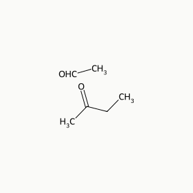 CC=O.CCC(C)=O